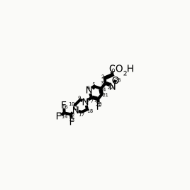 O=C(O)c1cc(-c2cnc(N3CCN(C(F)C(F)F)CC3)c(F)c2)no1